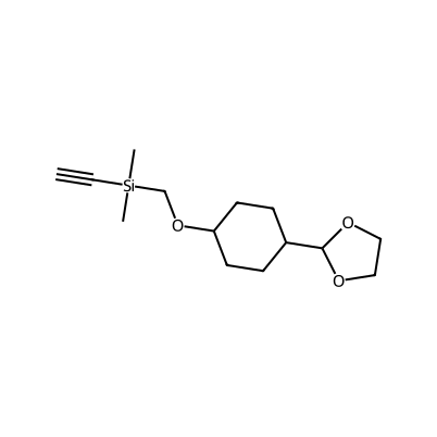 C#C[Si](C)(C)COC1CCC(C2OCCO2)CC1